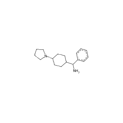 NC(c1ccccc1)C1CCC(N2CCCC2)CC1